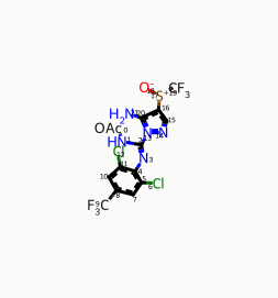 CC(=O)ONC(=Nc1c(Cl)cc(C(F)(F)F)cc1Cl)n1ncc([S+]([O-])C(F)(F)F)c1N